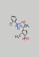 Cc1cc(C(C)N2N=NN(c3ccccc3Cl)C2C=O)ccc1[N+](=O)[O-]